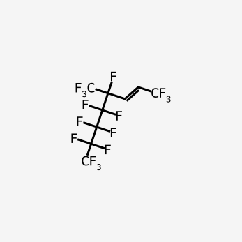 FC(F)(F)C=CC(F)(C(F)(F)F)C(F)(F)C(F)(F)C(F)(F)C(F)(F)F